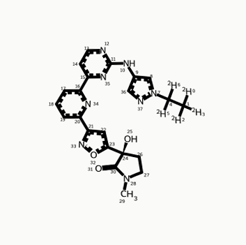 [2H]C([2H])([2H])C([2H])([2H])n1cc(Nc2nccc(-c3cccc(-c4cc([C@]5(O)CCN(C)C5=O)on4)n3)n2)cn1